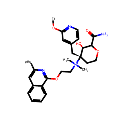 CCCCc1cc2ccccc2c(OCC[N+](C)(C)[C@@]2(Cc3ccnc(OCC)c3)CCOC(C(N)=O)[C@@H]2O)n1